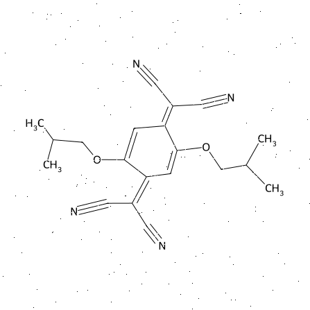 CC(C)COc1cc(=C(C#N)C#N)c(OCC(C)C)cc1=C(C#N)C#N